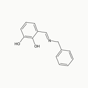 Oc1cccc(/C=N/Cc2ccccc2)c1O